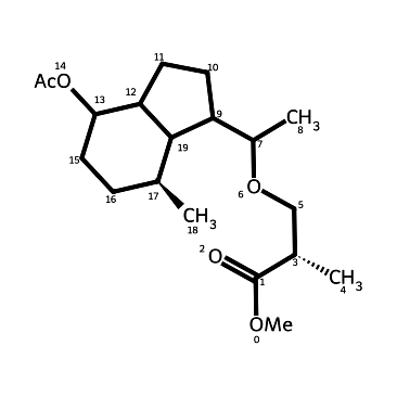 COC(=O)[C@@H](C)COC(C)C1CCC2C(OC(C)=O)CC[C@H](C)C12